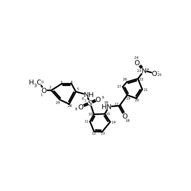 COc1ccc(NS(=O)(=O)c2ccccc2NC(=O)c2ccc([N+](=O)[O-])cc2)cc1